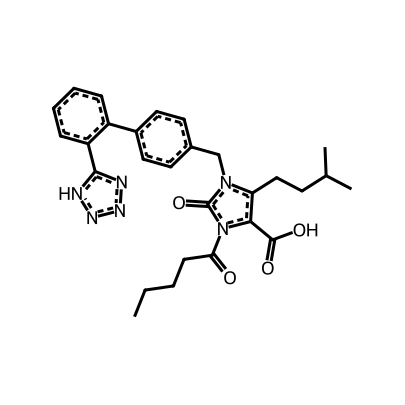 CCCCC(=O)n1c(C(=O)O)c(CCC(C)C)n(Cc2ccc(-c3ccccc3-c3nnn[nH]3)cc2)c1=O